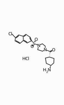 Cl.N[C@H]1CC[C@H](C(=O)N2CCN(S(=O)(=O)c3ccc4cc(Cl)ccc4c3)CC2)CC1